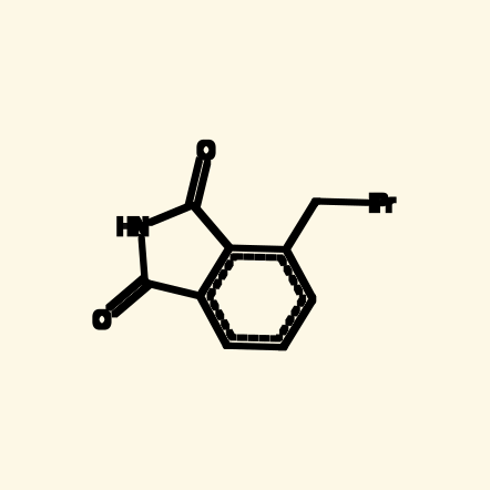 CC(C)Cc1cccc2c1C(=O)NC2=O